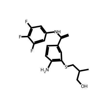 C=C(Nc1cc(F)c(F)c(F)c1)c1ccc(N)c(SCC(C)CO)c1